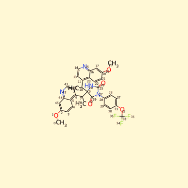 COc1ccc2c(C(C)C3(C(C)c4ccnc5cc(OC)ccc45)NC(=O)N(c4ccc(OC(F)(F)F)cc4)C3=O)ccnc2c1